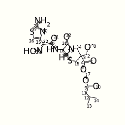 COCC1(C(=O)OCOC(=O)CC(C)C)CS[C@@H]2C(NC(=O)C(=NO)c3csc(N)n3)C(=O)N2C1